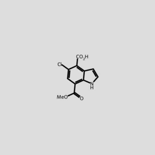 COC(=O)c1cc(Cl)c(C(=O)O)c2cc[nH]c12